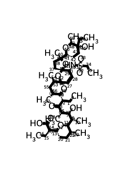 CCC(C(=O)[C@@H](C)[C@@H](O)[C@H](C)[C@@H]1O[C@@H]([C@@H](CC)C(=O)O)CC[C@@H]1C)[C@H]1O[C@]2(C=C[C@@H](NS(=O)(=O)CC)[C@]3(CC[C@@](C)([C@H]4CC[C@](O)(CC)[C@H](C)O4)O3)O2)[C@H](C)C[C@@H]1C